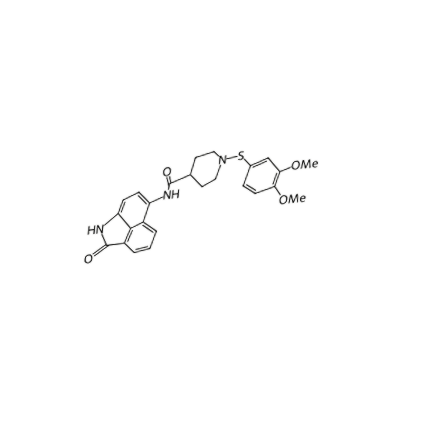 COc1ccc(SN2CCC(C(=O)Nc3ccc4c5c(cccc35)C(=O)N4)CC2)cc1OC